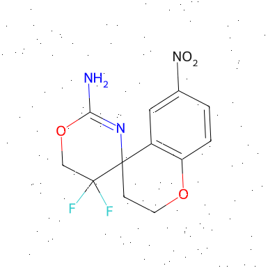 NC1=NC2(CCOc3ccc([N+](=O)[O-])cc32)C(F)(F)CO1